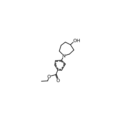 CCOC(=O)c1ccc(N2CCCC(O)CC2)cc1